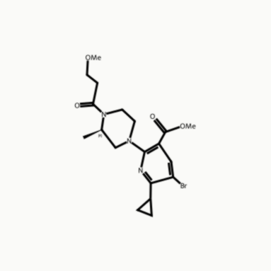 COCCC(=O)N1CCN(c2nc(C3CC3)c(Br)cc2C(=O)OC)C[C@H]1C